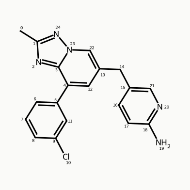 Cc1nc2c(-c3cccc(Cl)c3)cc(Cc3ccc(N)nc3)cn2n1